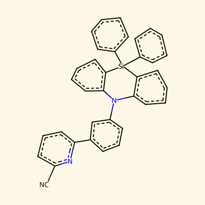 N#Cc1cccc(-c2cccc(N3c4ccccc4[Si](c4ccccc4)(c4ccccc4)c4ccccc43)c2)n1